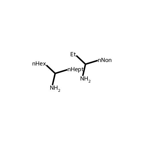 CCCCCCCC(N)CCCCCC.CCCCCCCCCC(N)CC